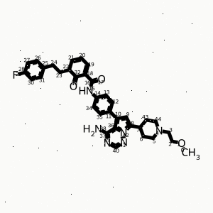 COCCN1CCC(c2cc(-c3ccc(NC(=O)C4=CC=CC(CCc5ccc(F)cc5)C4=O)cc3)c3c(N)ncnn23)CC1